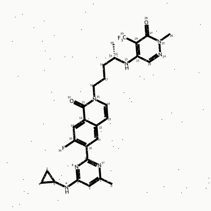 Cc1cc(NC2CC2)nc(-c2cc3ccn(CCC[C@H](C)Nc4cnn(C)c(=O)c4C(F)(F)F)c(=O)c3cc2F)n1